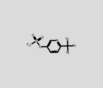 [2H]C([2H])([2H])c1ccc(OS(=O)(=O)C(F)(F)F)cn1